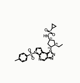 CC[C@@H]1C[C@H](NS(=O)(=O)C2CC2)C[C@@H]1n1nnc2cnc3c(ccn3S(=O)(=O)c3ccc(C)cc3)c21